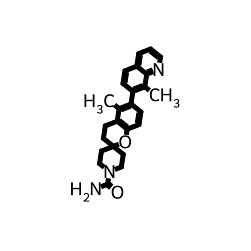 Cc1c(-c2ccc3cccnc3c2C)ccc2c1CCC1(CCN(C(N)=O)CC1)O2